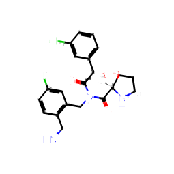 C[C@@]1(C(=O)N(Cc2cc(Cl)ccc2CN)C(=O)[C@@H](O)c2cccc(Cl)c2)CCCN1